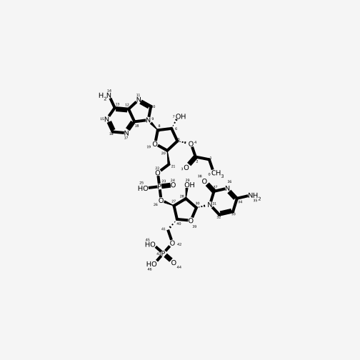 CCC(=O)O[C@H]1[C@@H](O)[C@H](n2cnc3c(N)ncnc32)O[C@@H]1COP(=O)(O)O[C@H]1[C@@H](O)[C@H](n2ccc(N)nc2=O)O[C@@H]1COP(=O)(O)O